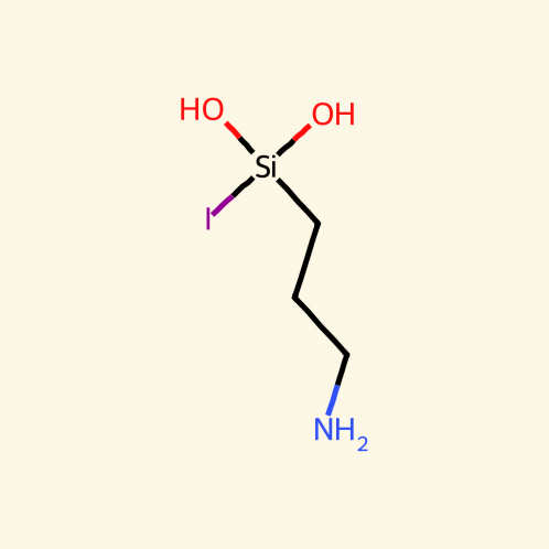 NCCC[Si](O)(O)I